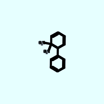 O=[N+]([O-])C1([N+](=O)[O-])C=CC=CC1c1ccccc1